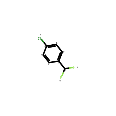 F[C](F)c1ccc(Cl)cc1